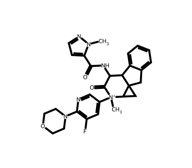 Cn1nccc1C(=O)NC1C(=O)[N+](C)(c2cnc(N3CCOCC3)c(F)c2)C2CC23Cc2ccccc2C13